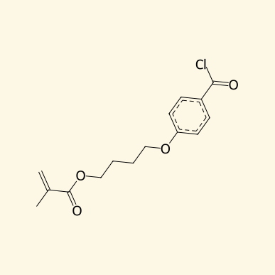 C=C(C)C(=O)OCCCCOc1ccc(C(=O)Cl)cc1